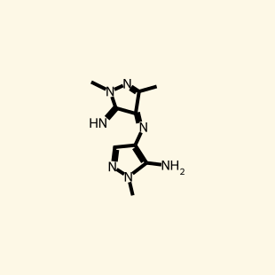 CC1=NN(C)C(=N)C1=Nc1cnn(C)c1N